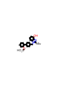 CCCCc1nc2c(O)cccc2n1Cc1ccc(-c2ccccc2OC(=O)O)cc1